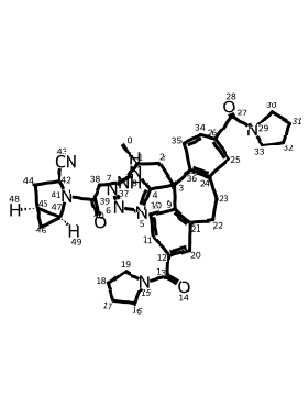 C[C@@H](CC1(c2nnn[nH]2)c2ccc(C(=O)N3CCCC3)cc2CCc2cc(C(=O)N3CCCC3)ccc21)NCC(=O)N1C(C#N)C[C@@H]2C[C@@H]21